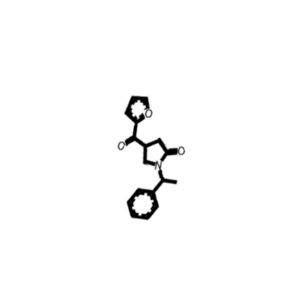 CC(c1ccccc1)N1CC(C(=O)c2ccco2)CC1=O